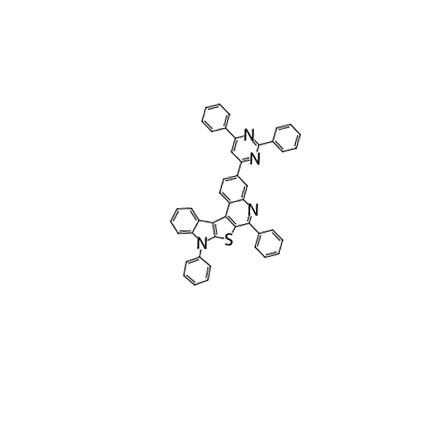 c1ccc(-c2cc(-c3ccc4c(c3)nc(-c3ccccc3)c3sc5c(c6ccccc6n5-c5ccccc5)c34)nc(-c3ccccc3)n2)cc1